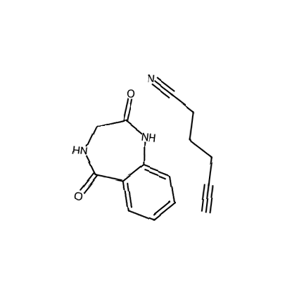 C#CCCCC#N.O=C1CNC(=O)c2ccccc2N1